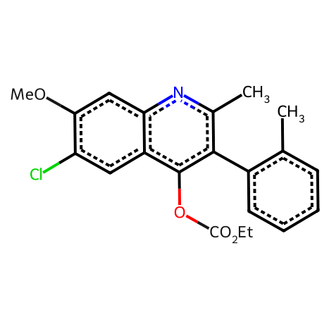 CCOC(=O)Oc1c(-c2ccccc2C)c(C)nc2cc(OC)c(Cl)cc12